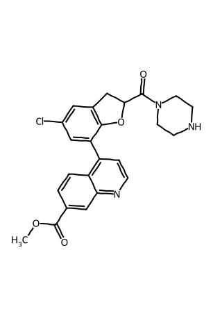 COC(=O)c1ccc2c(-c3cc(Cl)cc4c3OC(C(=O)N3CCNCC3)C4)ccnc2c1